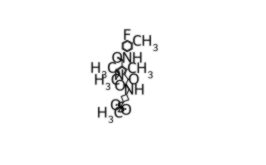 Cc1cc(NC(=O)c2c(C)c(C(=O)C(=O)NC3CC(S(C)(=O)=O)C3)n(C)c2C)ccc1F